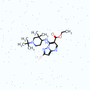 Bc1cc2ncc(C(=O)OCC)c(NC3CCN(C(C)(C)C)CC3(C)C)n2n1